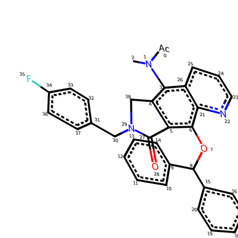 CC(=O)N(C)c1c2c(c(OC(c3ccccc3)c3ccccc3)c3ncccc13)C(=O)N(Cc1ccc(F)cc1)C2